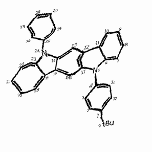 CC(C)(C)c1ccc(-n2c3ccccc3c3cc4c(cc32)c2ccccc2n4-c2ccccc2)cc1